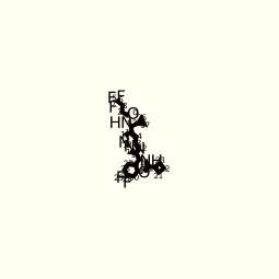 O=C(CCC(F)(F)F)N[C@@H](c1cnn2cc([C@@H](NC(=O)C3CCC3)C3CCC(F)(F)CC3)nc2c1)C1CC1